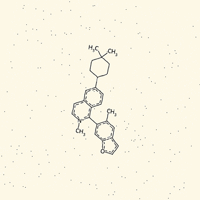 Cc1cc2ccoc2cc1-c1c2ccc(C3CCC(C)(C)CC3)cc2cc[n+]1C